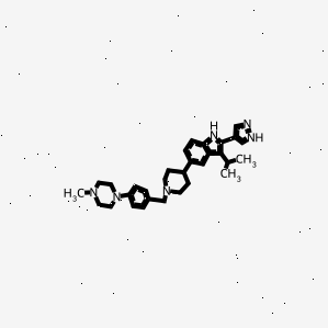 CC(C)c1c(-c2cn[nH]c2)[nH]c2ccc(C3CCN(Cc4ccc(N5CCN(C)CC5)cc4)CC3)cc12